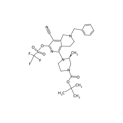 C[C@H]1CN(C(=O)OC(C)(C)C)CCN1c1nc(OS(=O)(=O)C(F)(F)F)c(C#N)c2c1CCN(Cc1ccccc1)C2